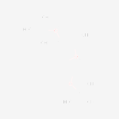 CC1O[C@@]2(COC(C)(C)C)CCCC2C1OC(C)(C)C